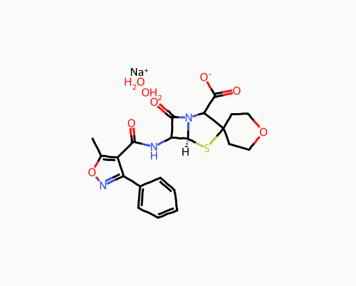 Cc1onc(-c2ccccc2)c1C(=O)NC1C(=O)N2C(C(=O)[O-])C3(CCOCC3)S[C@@H]12.O.O.[Na+]